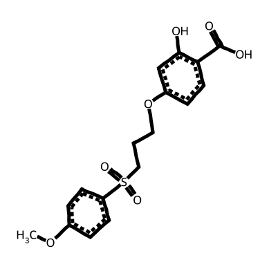 COc1ccc(S(=O)(=O)CCCOc2ccc(C(=O)O)c(O)c2)cc1